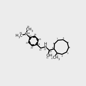 CC1CCCCCCCC1C(O)NCc1ccc(N(C)C)cc1